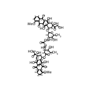 COc1cccc2c1C(=O)c1c(O)c3c(c(O)c1C2=O)C[C@@](O)(C(=O)CO)C[C@@H]3OC1CC(NOC(=O)ONC2CC(O[C@H]3C[C@](O)(C(=O)CO)Cc4c(O)c5c(c(O)c43)C(=O)c3c(OC)cccc3C5=O)OC(C)C2O)C(O)C(C)O1